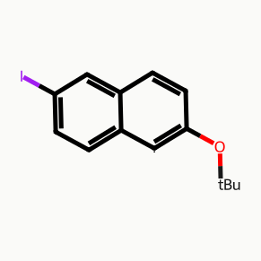 CC(C)(C)Oc1[c]c2ccc(I)cc2cc1